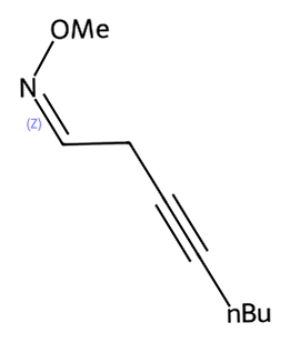 [CH2]CCCC#CC/C=N\OC